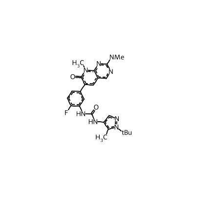 CNc1ncc2cc(-c3ccc(F)c(NC(=O)Nc4cnn(C(C)(C)C)c4C)c3)c(=O)n(C)c2n1